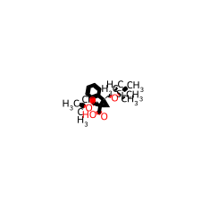 CC(C)(C)OC(=O)C1(C(=O)O)C[C@]1(CO[Si](C)(C)C(C)(C)C)c1ccccc1